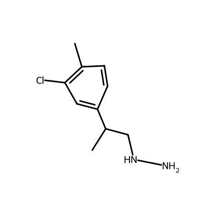 Cc1ccc(C(C)CNN)cc1Cl